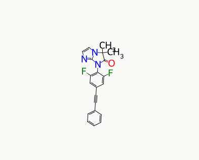 CC1(C)C(=O)N(c2c(F)cc(C#Cc3ccccc3)cc2F)c2nccn21